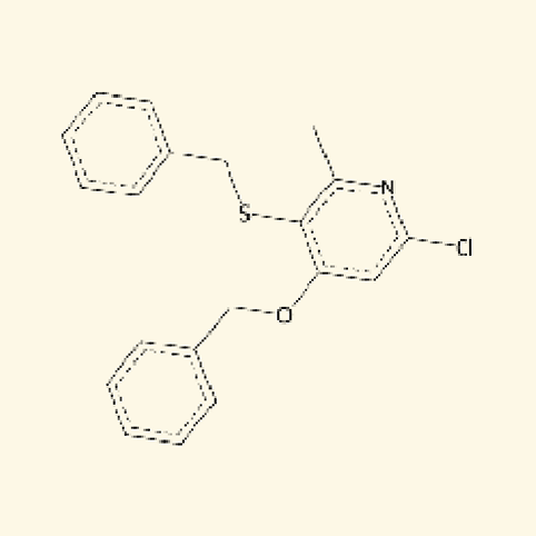 Cc1nc(Cl)cc(OCc2ccccc2)c1SCc1ccccc1